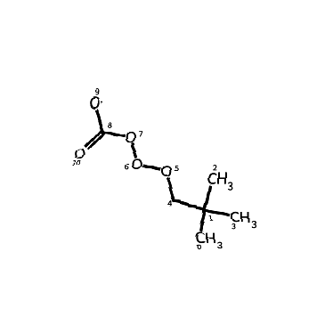 CC(C)(C)COOOC([O])=O